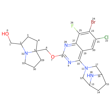 OCC1CCC2(COc3nc(N4CC5CCC(C4)N5)c4cc(Cl)c(Br)c(F)c4n3)CCCN12